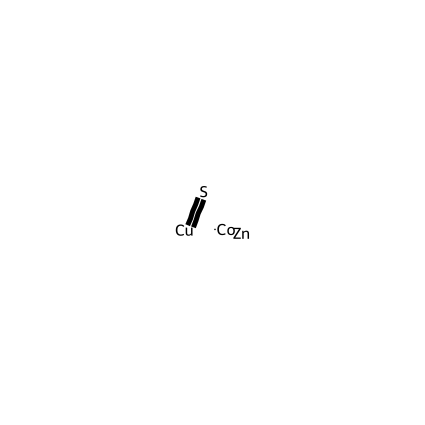 [Co].[S]=[Cu].[Zn]